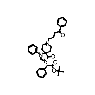 CC(C)(C)OC(=O)[C@@H](c1ccccc1)N1CN(c2ccccc2)C2(CCN(CCCC(=O)c3ccccc3)CC2)C1=O